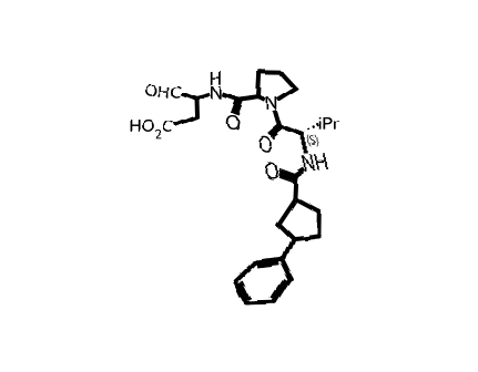 CC(C)[C@H](NC(=O)C1CCC(c2ccccc2)C1)C(=O)N1CCCC1C(=O)NC(C=O)CC(=O)O